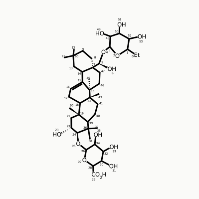 CCC1OC(O[C@@H](O)[C@]23CCC(C)(C)CC2C2=CCC4[C@@]5(C)C[C@@H](O)[C@H](OC6OC(C(=O)O)C(O)C(O)C6O)C(C)(C)C5CC[C@@]4(C)[C@]2(C)CC3)C(O)C(O)C1O